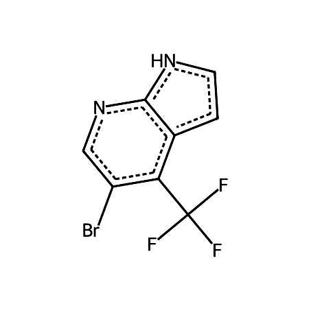 FC(F)(F)c1c(Br)cnc2[nH]ccc12